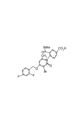 CNC(=O)c1cc(C(=O)O)ccc1-n1c(C)cc(OCc2ccc(F)cc2F)c(Br)c1=O